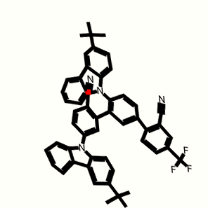 CC(C)(C)c1ccc2c(c1)c1ccccc1n2-c1ccc(C#N)c(-c2cc(-c3ccc(C(F)(F)F)cc3C#N)ccc2-n2c3ccccc3c3cc(C(C)(C)C)ccc32)c1